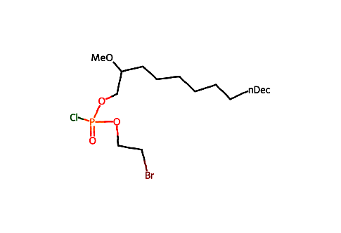 CCCCCCCCCCCCCCCCC(COP(=O)(Cl)OCCBr)OC